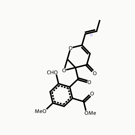 C/C=C/C1=CC(=O)C2(C(=O)c3c(C=O)cc(OC)cc3C(=O)OC)OC2O1